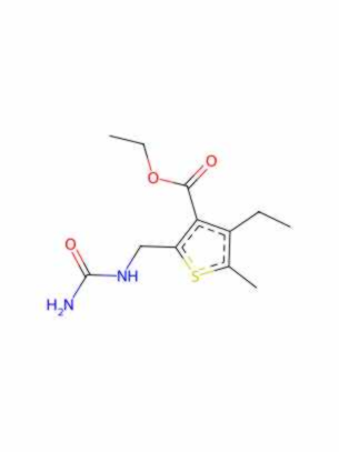 CCOC(=O)c1c(CNC(N)=O)sc(C)c1CC